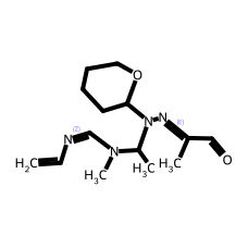 C=C/N=C\N(C)C(C)N(/N=C(\C)C=O)C1CCCCO1